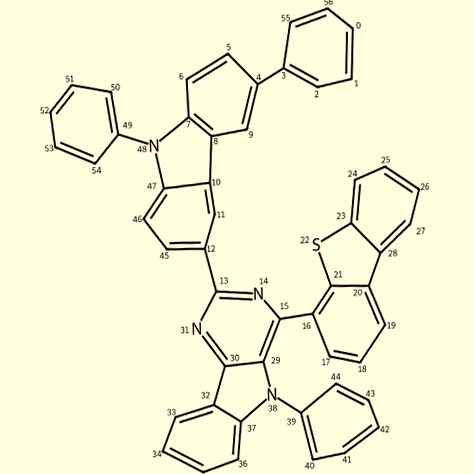 c1ccc(-c2ccc3c(c2)c2cc(-c4nc(-c5cccc6c5sc5ccccc56)c5c(n4)c4ccccc4n5-c4ccccc4)ccc2n3-c2ccccc2)cc1